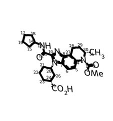 COC(=O)N1c2ccc3c(nc(C(=O)NC4CCCC4)n3[C@@H]3CCC[C@@H](C(=O)O)C3)c2CC[C@@H]1C